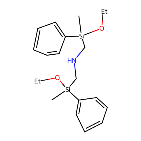 CCO[Si](C)(CNC[Si](C)(OCC)c1ccccc1)c1ccccc1